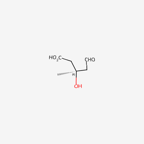 C[C@@](O)(CC=O)CC(=O)O